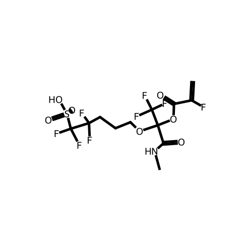 C=C(F)C(=O)OC(OCCCC(F)(F)C(F)(F)S(=O)(=O)O)(C(=O)NC)C(F)(F)F